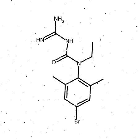 CCN(C(=O)NC(=N)N)c1c(C)cc(Br)cc1C